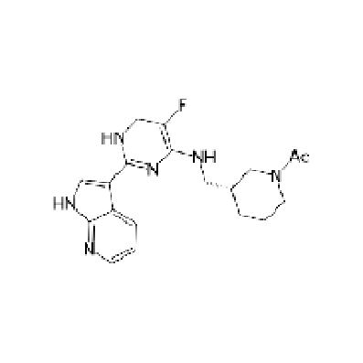 CC(=O)N1CCC[C@H](CNC2=C(F)CNC(c3c[nH]c4ncccc34)=N2)C1